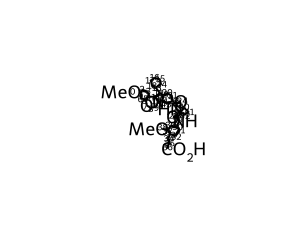 COc1ccc2c(c1)OCCn1c-2c(C2CCCCC2)c2ccc(C(=O)NC3(C(=O)Nc4ccc(C=CC(=O)O)c(OC)c4)CCC3)cc21